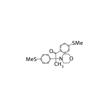 CSc1ccc(C(=O)C(C)(c2ccc(SC)cc2)N2CCOCC2)cc1